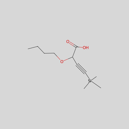 CCCCOC(C#C[Si](C)(C)C)C(=O)O